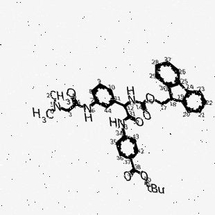 CN(C)CC(=O)Nc1cccc(C(NC(=O)OCC2c3ccccc3-c3ccccc32)C(=O)Nc2ccc(C(=O)OC(C)(C)C)cc2)c1